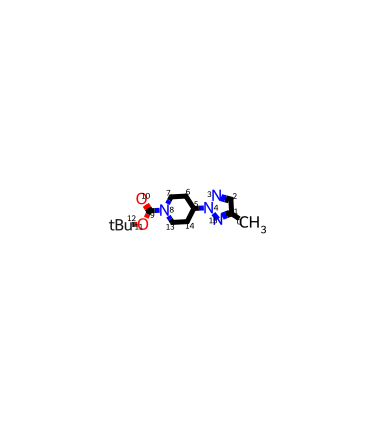 Cc1cnn(C2CCN(C(=O)OC(C)(C)C)CC2)n1